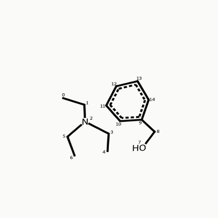 CCN(CC)CC.OCc1ccccc1